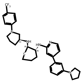 FC(F)(F)c1ccc(N2CCC[C@H](N[C@@H]3CCCC[C@H]3Nc3cc(-c4cccc(N5CCCC5)c4)ccn3)C2)cc1